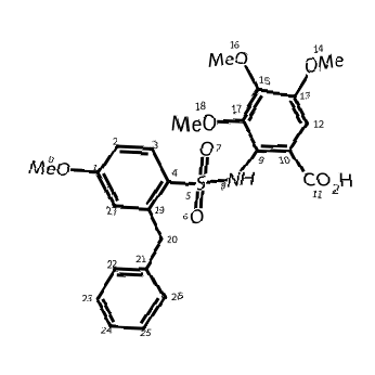 COc1ccc(S(=O)(=O)Nc2c(C(=O)O)cc(OC)c(OC)c2OC)c(Cc2ccccc2)c1